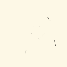 Cn1c2c(c(=O)n1-c1ccccc1F)[C@@H]1CC[C@@]2(C)C1(C)C